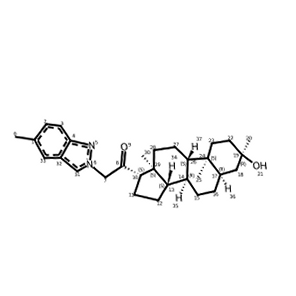 Cc1ccc2nn(CC(=O)[C@H]3CC[C@H]4[C@@H]5CC[C@@H]6C[C@](C)(O)CC[C@]6(C)[C@H]5CC[C@]34C)cc2c1